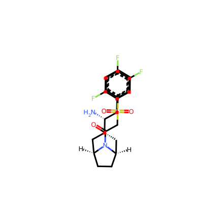 N[C@H](Cc1cc(F)c(F)cc1F)[C@@H]1C[C@H]2CC[C@@H](C1)N2C(=O)CS(=O)(=O)c1ccccc1